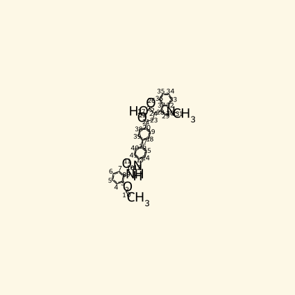 CCOc1ccccc1NC(=O)Nc1ccc(-c2ccc(C(=O)CC(C(=O)O)c3cn(C)c4ccccc34)cc2)cc1